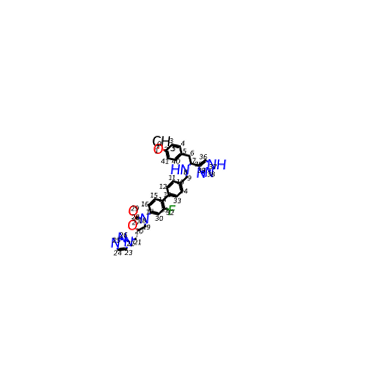 COc1ccc(CC(NCc2ccc(-c3ccc(N4C[C@H](Cn5ccnn5)OC4=O)cc3F)cc2)c2c[nH]nn2)cc1